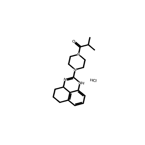 CC(C)C(=O)N1CCN(C2=NC3CCCc4cccc(c43)N2)CC1.Cl